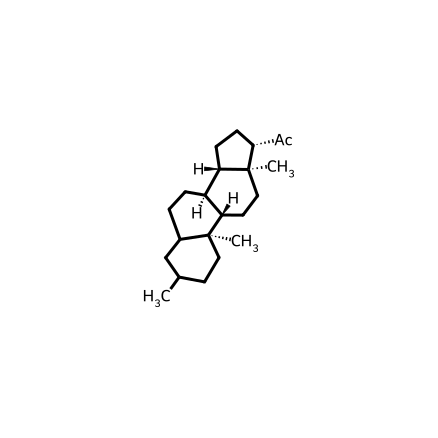 CC(=O)[C@H]1CC[C@H]2[C@@H]3CCC4CC(C)CC[C@]4(C)[C@H]3CC[C@]12C